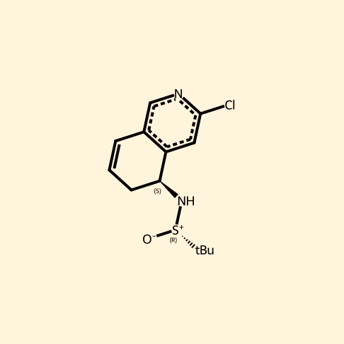 CC(C)(C)[S@+]([O-])N[C@H]1CC=Cc2cnc(Cl)cc21